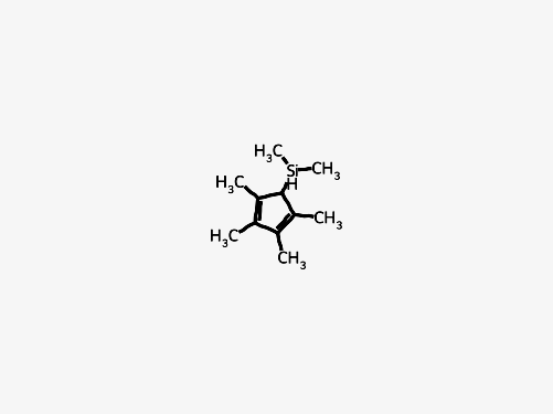 CC1=C(C)C([SiH](C)C)C(C)=C1C